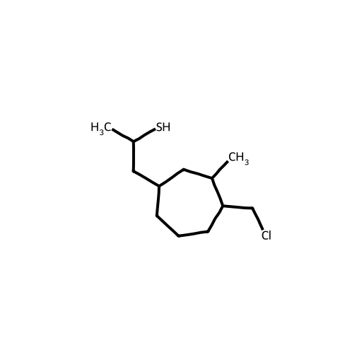 CC(S)CC1CCCC(CCl)C(C)C1